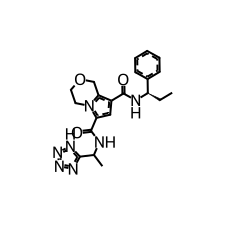 CC[C@@H](NC(=O)c1cc(C(=O)NC(C)c2nnn[nH]2)n2c1COCC2)c1ccccc1